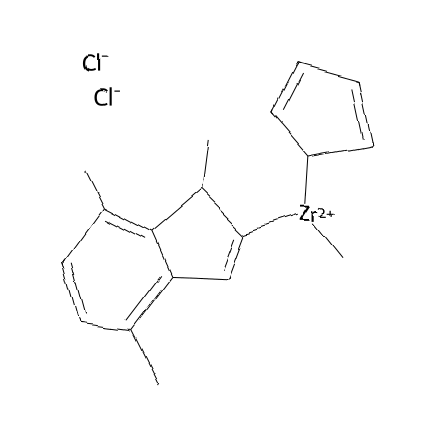 Cc1ccc(C)c2c1C=[C]([Zr+2]([CH3])[CH]1C=CC=C1)C2C.[Cl-].[Cl-]